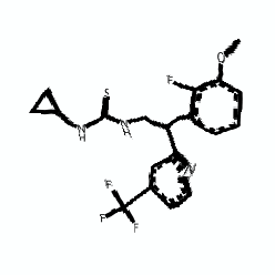 COc1cccc(C(CNC(=S)NC2CC2)c2cc(C(F)(F)F)ccn2)c1F